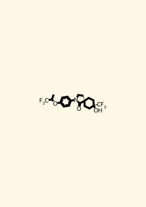 CC(Oc1ccc(N2CC[C@]3(CC[C@@](O)(C(F)(F)F)CC3)C2=O)cc1)C(F)(F)F